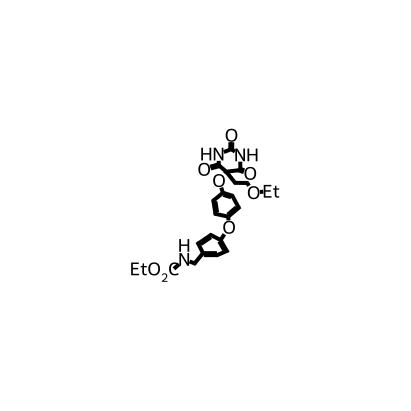 CCOCCC1(Oc2ccc(Oc3ccc(CNC(=O)OCC)cc3)cc2)C(=O)NC(=O)NC1=O